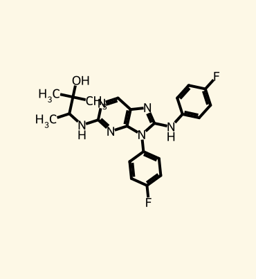 CC(Nc1ncc2nc(Nc3ccc(F)cc3)n(-c3ccc(F)cc3)c2n1)C(C)(C)O